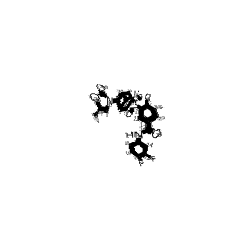 C[C@@H]1CN(C2C3C[C@H](S(=O)(=O)c4cc(C(=O)Nc5ccc(F)c(F)c5)ccc4Cl)CC2[C@@H]3C)C(=O)O1